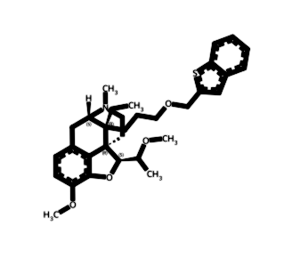 CC[C@]1(CCCOCc2cc3ccccc3s2)[C@@H]2Cc3ccc(OC)c4c3[C@]1(CCN2C)[C@@H](C(C)OC)O4